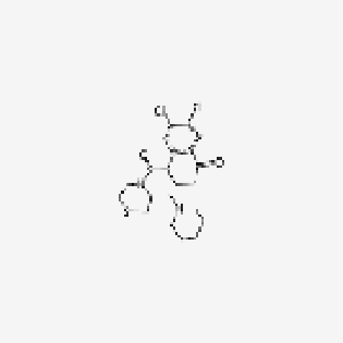 O=C1CCC(C(=O)N2CCSCC2CN2CCCCC2)c2cc(Cl)c(Cl)cc21